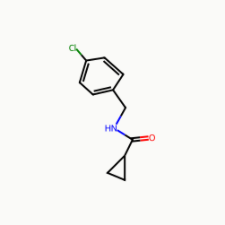 O=C(NCc1ccc(Cl)cc1)C1CC1